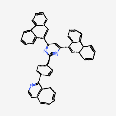 C1=CCc2c(ccnc2-c2ccc(-c3nc(C4=CC5C=CC=CC5c5ccccc54)cc(-c4cc5ccccc5c5ccccc45)n3)cc2)C=C1